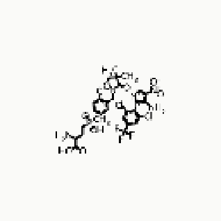 CC1(C)CON(Cc2ccccc2Cl)C1=O.CP(=O)(O)CCC(N)C(=O)O.Nc1c([N+](=O)[O-])cnn1-c1c(Cl)cc(C(F)(F)F)cc1Cl